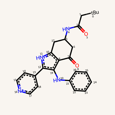 CC(C)(C)CC(=O)NC1CC(=O)c2c([nH]c(-c3ccncc3)c2Nc2ccccc2)C1